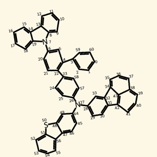 c1ccc(-c2cc(-n3c4ccccc4c4ccccc43)ccc2-c2ccc(N(c3ccc4c(c3)-c3cccc5cccc-4c35)c3ccc4c(c3)sc3ccccc34)cc2)cc1